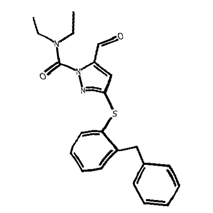 CCN(CC)C(=O)n1nc(Sc2ccccc2Cc2ccccc2)cc1C=O